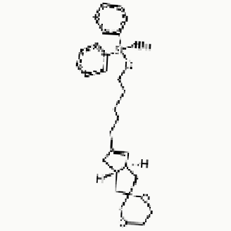 CC(C)(C)[Si](OCCCCCC1=C[C@H]2C[C@@]3(COCCO3)C[C@@H]2C1)(c1ccccc1)c1ccccc1